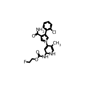 CC1=CNC(NC(=O)OCCF)C=C1n1cc(C(N)=O)c(-c2ccccc2Cl)c1